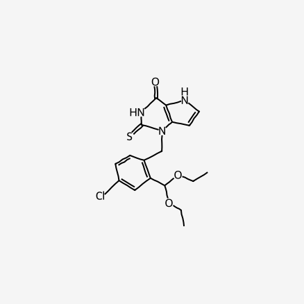 CCOC(OCC)c1cc(Cl)ccc1Cn1c(=S)[nH]c(=O)c2[nH]ccc21